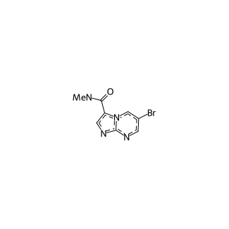 CNC(=O)c1cnc2ncc(Br)cn12